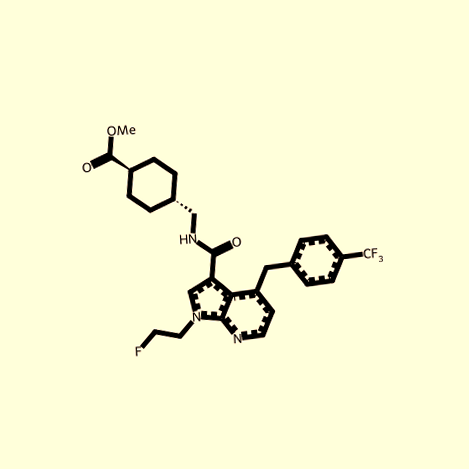 COC(=O)[C@H]1CC[C@H](CNC(=O)c2cn(CCF)c3nccc(Cc4ccc(C(F)(F)F)cc4)c23)CC1